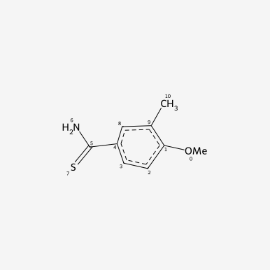 COc1ccc(C(N)=S)cc1C